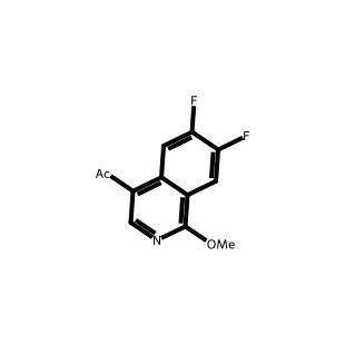 COc1ncc(C(C)=O)c2cc(F)c(F)cc12